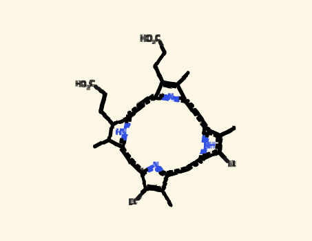 CCC1=C(C)c2cc3[nH]c(cc4nc(cc5[nH]c(cc1n2)C(C)C5CCC(=O)O)C(CCC(=O)O)=C4C)c(C)c3CC